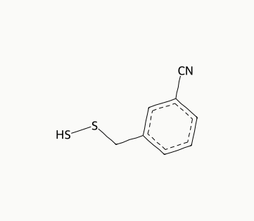 N#Cc1cccc(CSS)c1